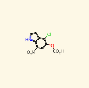 O=C(O)Oc1cc([N+](=O)[O-])c2[nH]ccc2c1Cl